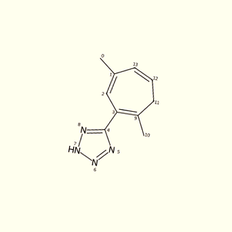 CC1=CC(c2nn[nH]n2)=C(C)CC=C1